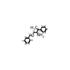 C[C@@H](c1ccccc1)C(N)COCc1ccccc1